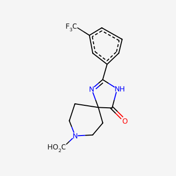 O=C(O)N1CCC2(CC1)N=C(c1cccc(C(F)(F)F)c1)NC2=O